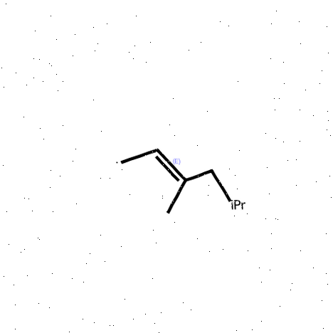 [CH2]/C=C(\C)CC(C)C